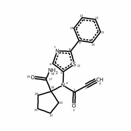 C#CC(=O)N(c1cnc(-c2ccccc2)s1)C1(C(N)=O)CCCC1